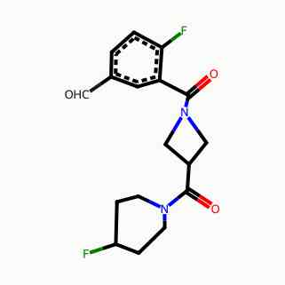 O=Cc1ccc(F)c(C(=O)N2CC(C(=O)N3CCC(F)CC3)C2)c1